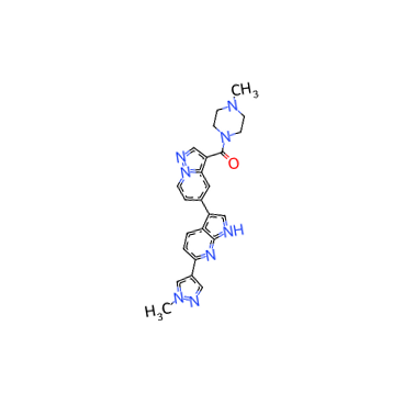 CN1CCN(C(=O)c2cnn3ccc(-c4c[nH]c5nc(-c6cnn(C)c6)ccc45)cc23)CC1